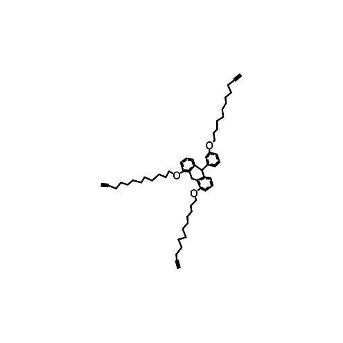 C#CCCCCCCCCCCOc1cccc(C2c3cccc(OCCCCCCCCCCC#C)c3Cc3c(OCCCCCCCCCCC#C)cccc32)c1